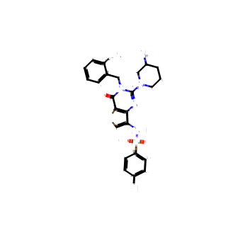 Cc1ccc(S(=O)(=O)Nc2csc3c(=O)n(Cc4ccccc4C#N)c(N4CCCC(N)C4)nc23)cc1